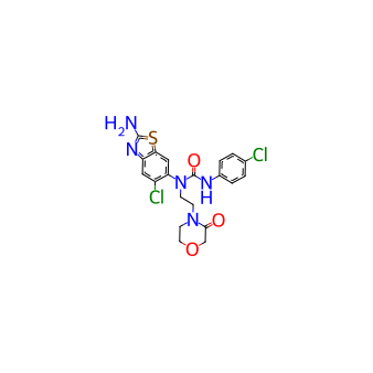 Nc1nc2cc(Cl)c(N(CCN3CCOCC3=O)C(=O)Nc3ccc(Cl)cc3)cc2s1